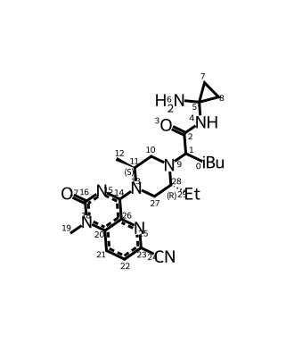 CCC(C)C(C(=O)NC1(N)CC1)N1C[C@H](C)N(c2nc(=O)n(C)c3ccc(C#N)nc23)C[C@H]1CC